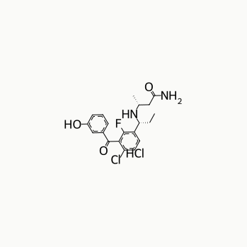 CC[C@@H](N[C@H](C)CC(N)=O)c1ccc(Cl)c(C(=O)c2cccc(O)c2)c1F.Cl